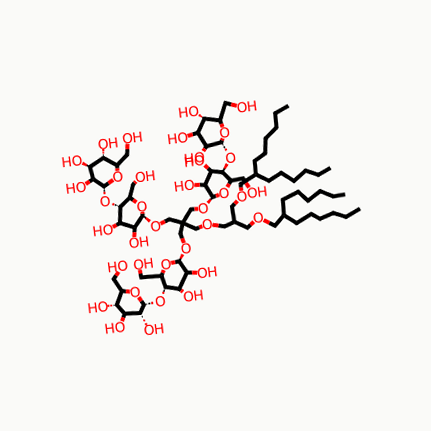 CCCCCCC(CCCCCC)COCC(COCC(CCCCCC)CCCCCC)COCC(CO[C@@H]1OC(CO)[C@@H](O[C@H]2OC(CO)[C@@H](O)[C@H](O)C2O)C(O)C1O)(CO[C@@H]1OC(CO)[C@@H](O[C@H]2OC(CO)[C@@H](O)C(O)[C@H]2O)C(O)C1O)CO[C@@H]1OC(CO)[C@H](O[C@H]2OC(CO)[C@@H](O)C(O)C2O)C(O)C1O